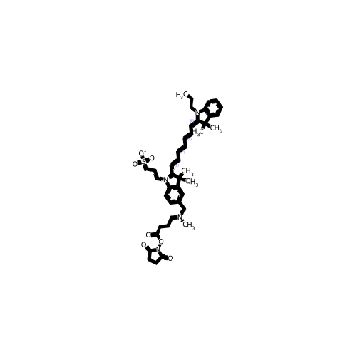 CCCN1/C(=C/C=C/C=C/C=C/C2=[N+](CCCS(=O)(=O)[O-])c3ccc(CN(C)CCCC(=O)ON4C(=O)CCC4=O)cc3C2(C)C)C(C)(C)c2ccccc21